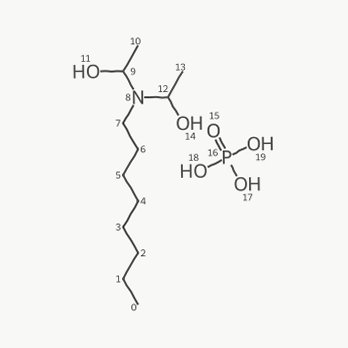 CCCCCCCCN(C(C)O)C(C)O.O=P(O)(O)O